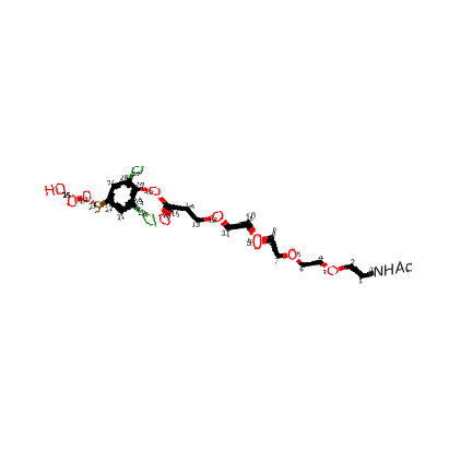 CC(=O)NCCOCCOCCOCCOCCC(=O)Oc1c(Cl)cc(SOOO)cc1Cl